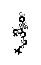 C[C@@H]1CN(c2nc(-n3ccc(OCC4C(C)(C)C4(C)C)n3)ccc2C(=O)NS(=O)(=O)c2ccc(O)cc2)C(C)(C)C1